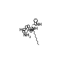 CCCCCCCCCC(=O)N[C@@H](Cc1c[nH]c2ccccc12)C(=O)N[C@@H](CC(N)=O)C(=O)O